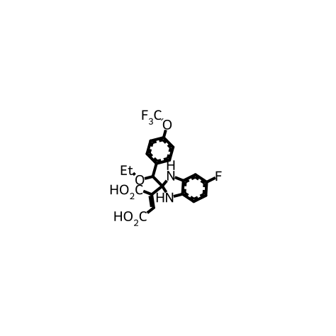 CCOC(c1ccc(OC(F)(F)F)cc1)C1(C(=CC(=O)O)C(=O)O)Nc2ccc(F)cc2N1